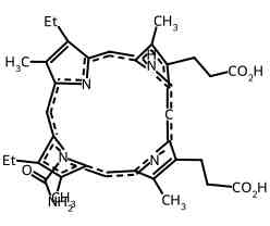 CCC1=C(C)c2cc3c(CC)c(C)c(cc4nc(cc5[nH]c(cc1n2)c(C)c5CCC(=O)O)C(CCC(=O)O)=C4C)n3C(N)=O